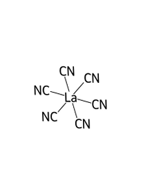 N#[C][La]([C]#N)([C]#N)([C]#N)([C]#N)[C]#N